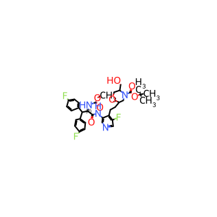 COC(=O)N[C@@H](C(=O)Nc1cncc(F)c1CCC1CN(C(=O)OC(C)(C)C)C(CO)CO1)C(c1ccc(F)cc1)c1ccc(F)cc1